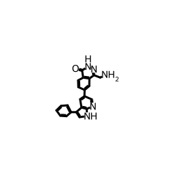 NCc1n[nH]c(=O)c2ccc(-c3cnc4[nH]cc(-c5ccccc5)c4c3)cc12